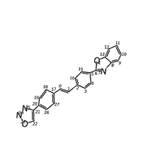 C(=C\c1ccc(-c2nc3ccccc3o2)cc1)/c1ccc(-c2conn2)cc1